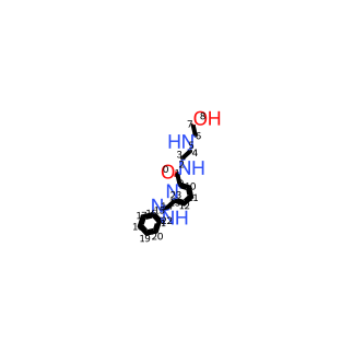 O=C(NCCNCCO)c1cccc(-c2nc3ccccc3[nH]2)n1